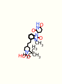 Cn1c(=O)n(C2CCC(=O)NC2=O)c2cccc(CCC3CCN(C(=O)O)C(C(C)(C)C)C3)c21